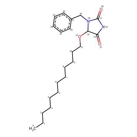 CCCCCCCCCCCCOC1C(=O)[N]C(=O)N1Cc1ccccc1